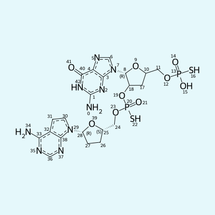 Nc1nc2c(ncn2[C@@H]2OC(COP(=O)(O)S)CC2OP(=O)(S)OC[C@@H]2CC[C@H](n3ccc4c(N)ncnc43)O2)c(=O)[nH]1